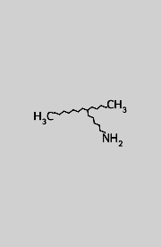 CCCCCCCCC(CCCCC)CCCCCCN